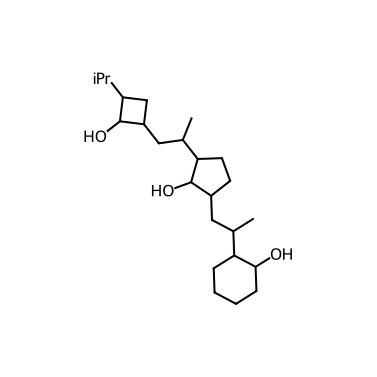 CC(C)C1CC(CC(C)C2CCC(CC(C)C3CCCCC3O)C2O)C1O